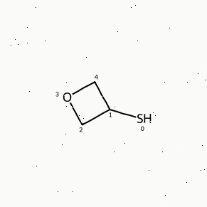 SC1COC1